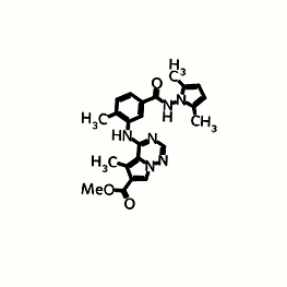 COC(=O)c1cn2ncnc(Nc3cc(C(=O)Nn4c(C)ccc4C)ccc3C)c2c1C